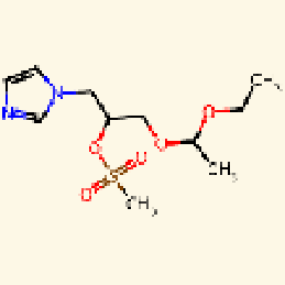 CCOC(C)OCC(Cn1ccnc1)OS(C)(=O)=O